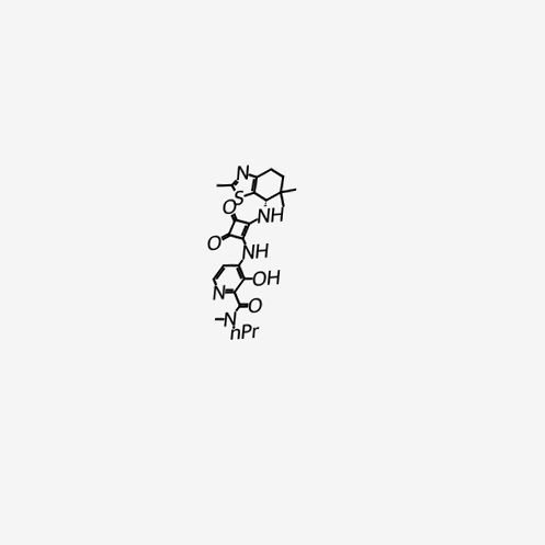 CCCN(C)C(=O)c1nccc(Nc2c(N[C@@H]3c4sc(C)nc4CCC3(C)C)c(=O)c2=O)c1O